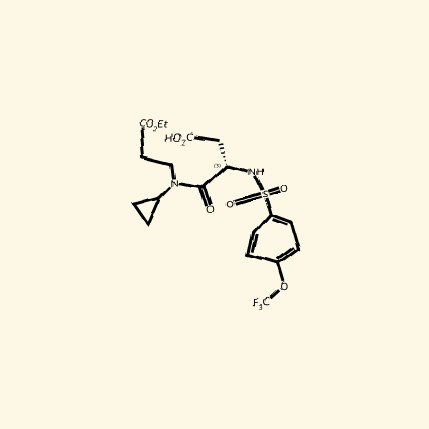 CCOC(=O)CCN(C(=O)[C@H](CC(=O)O)NS(=O)(=O)c1ccc(OC(F)(F)F)cc1)C1CC1